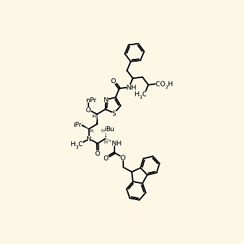 CCCO[C@H](C[C@H](C(C)C)N(C)C(=O)[C@@H](NC(=O)OCC1c2ccccc2-c2ccccc21)[C@@H](C)CC)c1nc(C(=O)NC(Cc2ccccc2)CC(C)C(=O)O)cs1